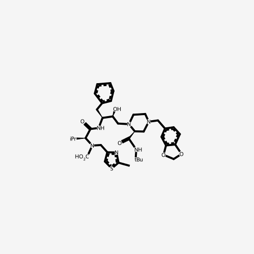 Cc1nc(CN(C(=O)O)[C@H](C(=O)N[C@@H](Cc2ccccc2)[C@@H](O)CN2CCN(Cc3ccc4c(c3)OCO4)C[C@H]2C(=O)NC(C)(C)C)C(C)C)cs1